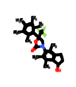 Cc1c(C)c(C)c(C2(C(F)(F)F)CN(c3c(C)c(C)c4c(c3C)CCC4O)C(=O)O2)c(C)c1C